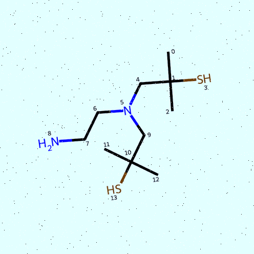 CC(C)(S)CN(CCN)CC(C)(C)S